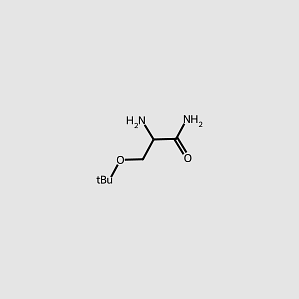 CC(C)(C)OCC(N)C(N)=O